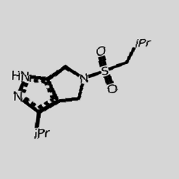 CC(C)CS(=O)(=O)N1Cc2[nH]nc(C(C)C)c2C1